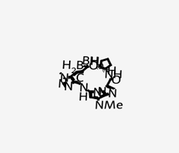 BC1(B)O[C@@H]2CCC[C@H]2NC(=O)c2cnc3c(NC)cc(nn23)Nc2cc1cc1c2nnn1C